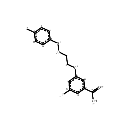 Cc1ccc(SOCCOc2cc(F)cc(C(=O)O)c2)cc1